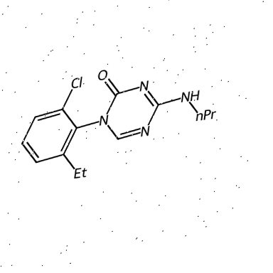 CCCNc1ncn(-c2c(Cl)cccc2CC)c(=O)n1